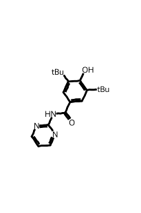 CC(C)(C)c1cc(C(=O)Nc2ncccn2)cc(C(C)(C)C)c1O